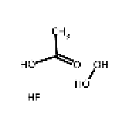 CC(=O)O.F.OO